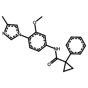 COc1cc(NC(=O)C2(c3ccccc3)CC2)ccc1-n1cnc(C)c1